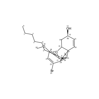 CCCCCCN1CCC23C=C[C@H](O)CC2Oc2c(OC)cc(Br)c(c23)C1